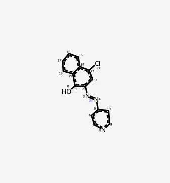 Oc1c(/N=N/c2ccncc2)cc(Cl)c2ccccc12